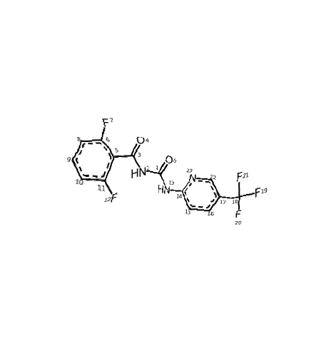 O=C(NC(=O)c1c(F)cccc1F)Nc1ccc(C(F)(F)F)cn1